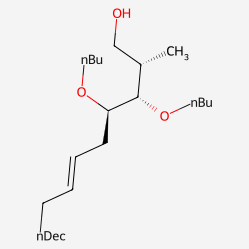 CCCCCCCCCCCC=CC[C@@H](OCCCC)[C@@H](OCCCC)[C@@H](C)CO